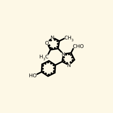 Cc1noc(C)c1-n1c(C=O)cnc1-c1ccc(O)cc1